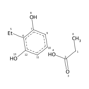 CCC(=O)O.CCc1c(O)cccc1O